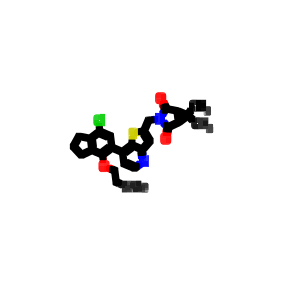 CNCCOc1c(-c2ccnc3cc(CN4C(=O)C5C(C4=O)C5(C)C)sc23)cc(Cl)c2c1CCC2